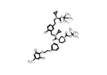 Cc1cc(Cl)c(OCCOc2ccc([C@H]3CCN(C(=O)OC(C)(C)C)C[C@@H]3C(=O)N(Cc3cc(CCN(C(=O)OC(C)(C)C)C4CC4)ccc3Cl)C3CC3)cc2)c(Cl)c1